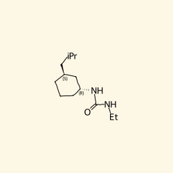 CCNC(=O)N[C@@H]1CCC[C@@H](CC(C)C)C1